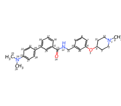 CN1CCC(Oc2cccc(CNC(=O)c3cccc(-c4ccc(N(C)C)cc4)c3)c2)CC1